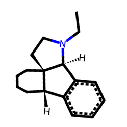 CCN1CC[C@]23CCCC[C@H]2c2ccccc2[C@H]13